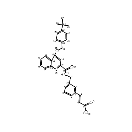 COC(=O)/C=C/c1cccc(CNC(=O)c2cc(OCc3ccc(C(C)(C)C)cc3)c3ccccc3n2)c1